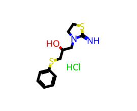 Cl.N=C1SCCN1CC(O)CSc1ccccc1